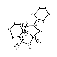 CP(=O)(OC(C1CCCCC1)C(F)(F)F)OC(C1CCCCC1)C(F)(F)F